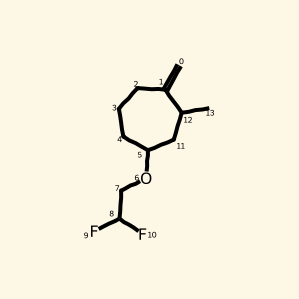 C=C1CCCC(OCC(F)F)CC1C